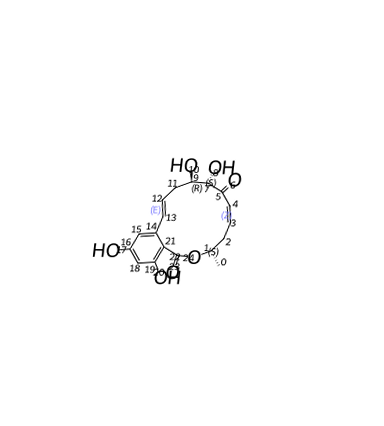 C[C@H]1C/C=C\C(=O)[C@@H](O)[C@H](O)C/C=C/c2cc(O)cc(O)c2C(=O)O1